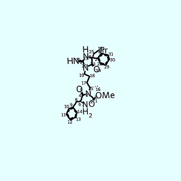 COC(=O)N(C(=O)[C@@H](N)Cc1ccccc1)[C@@H](C)CCCN1C(=N)N[C@](CC(C)C)(c2ccccc2)C1=O